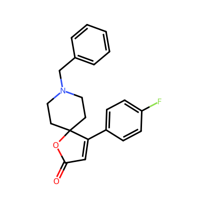 O=C1C=C(c2ccc(F)cc2)C2(CCN(Cc3ccccc3)CC2)O1